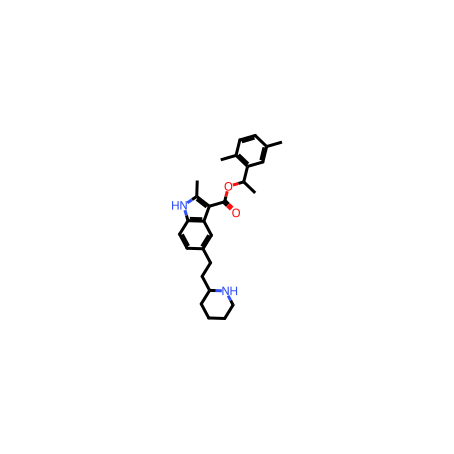 Cc1ccc(C)c(C(C)OC(=O)c2c(C)[nH]c3ccc(CCC4CCCCN4)cc23)c1